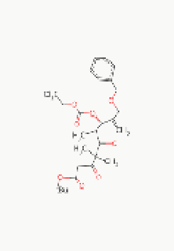 C=C(COCc1ccccc1)[C@H](OC(=O)OCC(Cl)(Cl)Cl)C(C)C(=O)C(C)(C)C(=O)CC(=O)OC(C)(C)C